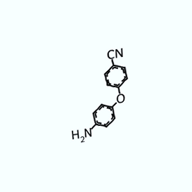 N#Cc1ccc(Oc2ccc(N)cc2)cc1